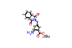 CC(C)(C)OC(=O)c1cc(CN2C(=O)c3ccccc3C2=O)sc1N